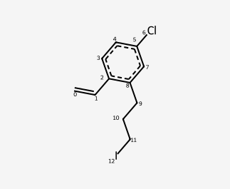 C=Cc1ccc(Cl)cc1CCCI